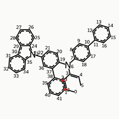 C/C=C\C(=C/C)N(c1ccc(-c2ccccc2)cc1)c1ccc(-n2c3ccccc3c3ccccc32)cc1-c1ccccc1